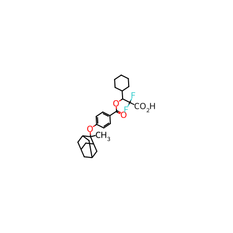 CC1(Oc2ccc(C(=O)OC(C3CCCCC3)C(F)(F)C(=O)O)cc2)C2CC3CC(C2)CC1C3